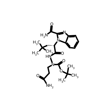 CC(C)(C)C[C@@H](C(=O)NN(CCC(N)=O)C(=O)OC(C)(C)C)n1c(C(N)=O)nc2ccccc21